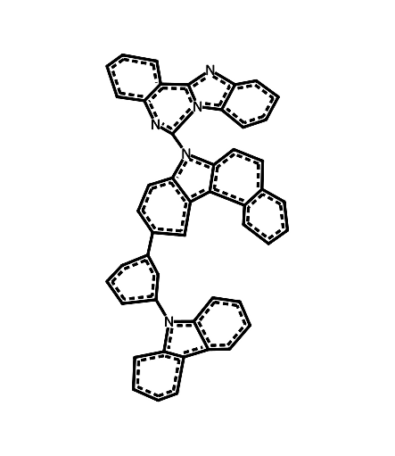 c1cc(-c2ccc3c(c2)c2c4ccccc4ccc2n3-c2nc3ccccc3c3nc4ccccc4n23)cc(-n2c3ccccc3c3ccccc32)c1